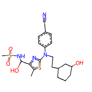 Cc1sc(N(CCC2CCCC(O)C2)c2ccc(C#N)cc2)nc1C(O)NS(C)(=O)=O